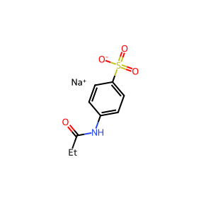 CCC(=O)Nc1ccc(S(=O)(=O)[O-])cc1.[Na+]